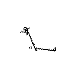 CC(=O)Oc1c(-c2cn(CCCCCCCCCCOCCCc3ccc[n+](CCCCCCCCCCOCCCc4cccnc4)c3)nn2)cc(Cl)c2cccnc12.[Cl-]